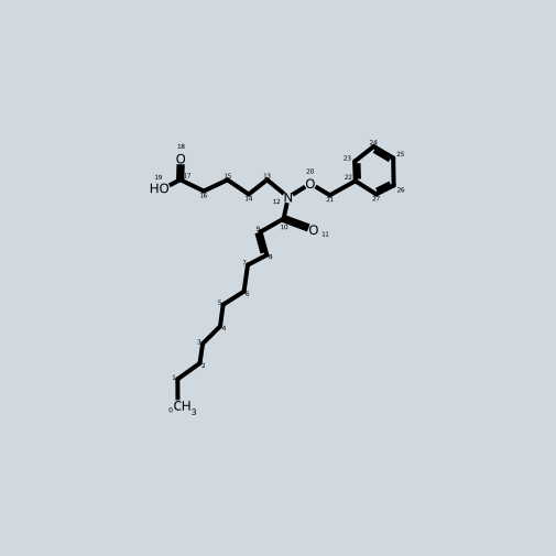 CCCCCCCCC=CC(=O)N(CCCCC(=O)O)OCc1ccccc1